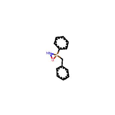 c1ccc(CS2(c3ccccc3)NO2)cc1